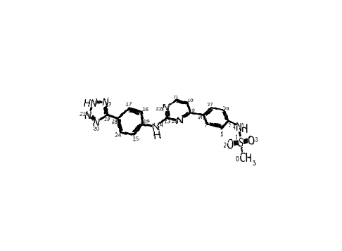 CS(=O)(=O)Nc1ccc(-c2ccnc(Nc3ccc(-c4nn[nH]n4)cc3)n2)cc1